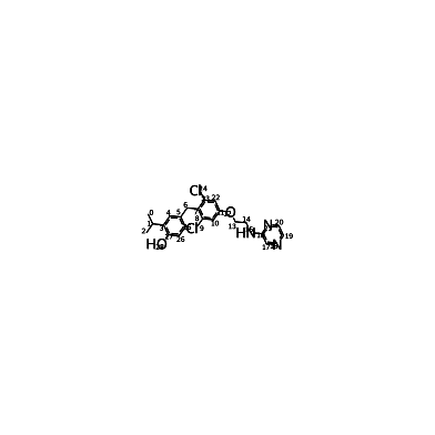 CC(C)c1cc(Cc2c(Cl)cc(OCCNc3cnccn3)cc2Cl)ccc1O